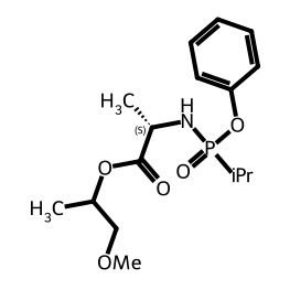 COCC(C)OC(=O)[C@H](C)NP(=O)(Oc1ccccc1)C(C)C